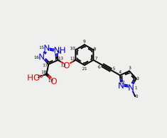 Cn1ccc(C#Cc2cccc(Oc3[nH]nnc3C(=O)O)c2)n1